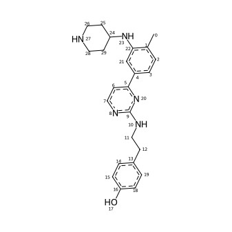 Cc1ccc(-c2ccnc(NCCc3ccc(O)cc3)n2)cc1NC1CCNCC1